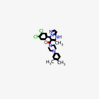 CC1=C(C(=O)N2CCN(c3ccc(C)c(C)c3)CC2)C(c2ccc(Cl)c(Cl)c2)n2nccc2N1